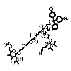 COc1ccc(C(OCCn2c(=O)n(CCNC(=O)COCCOCCOC3OC(COC(C)=O)C(C)C(C)C3NC(C)=O)c(=O)n(CCOP(OCCC#N)N(C(C)C)C(C)C)c2=O)(c2ccccc2)c2ccc(OC)cc2)cc1